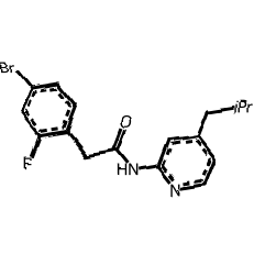 CC(C)Cc1ccnc(NC(=O)Cc2ccc(Br)cc2F)c1